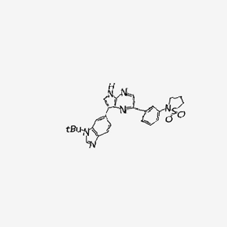 CC(C)(C)n1cnc2ccc(-c3c[nH]c4ncc(-c5cccc(N6CCCS6(=O)=O)c5)nc34)cc21